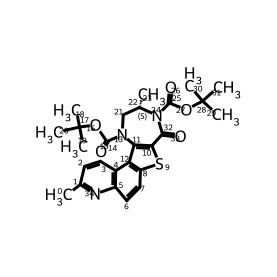 Cc1ccc2c(ccc3sc4c(c32)N(C(=O)OC(C)(C)C)C[C@H](C)N(C(=O)OC(C)(C)C)C4=O)n1